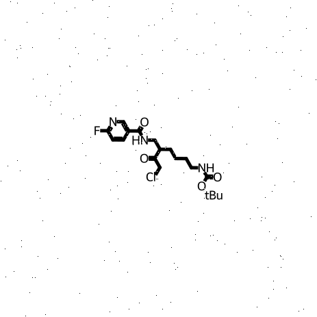 CC(C)(C)OC(=O)NCCCCC(CNC(=O)c1ccc(F)nc1)C(=O)CCl